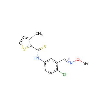 Cc1ccsc1C(=S)Nc1ccc(Cl)c(/C=N/OC(C)C)c1